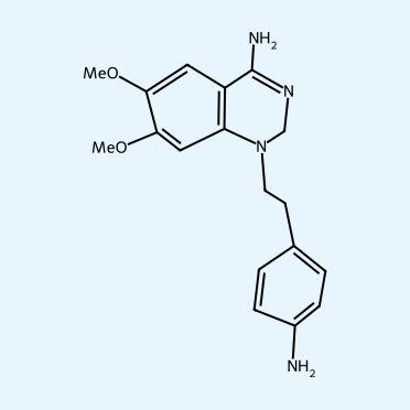 COc1cc2c(cc1OC)N(CCc1ccc(N)cc1)CN=C2N